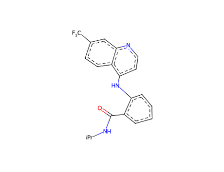 CC(C)NC(=O)c1ccccc1Nc1ccnc2cc(C(F)(F)F)ccc12